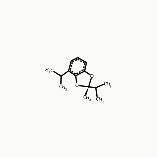 CC(C)c1cccc2c1O[C@@](C)(C(C)C)O2